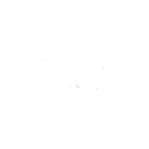 CC(CCCC=O)C(N)=O